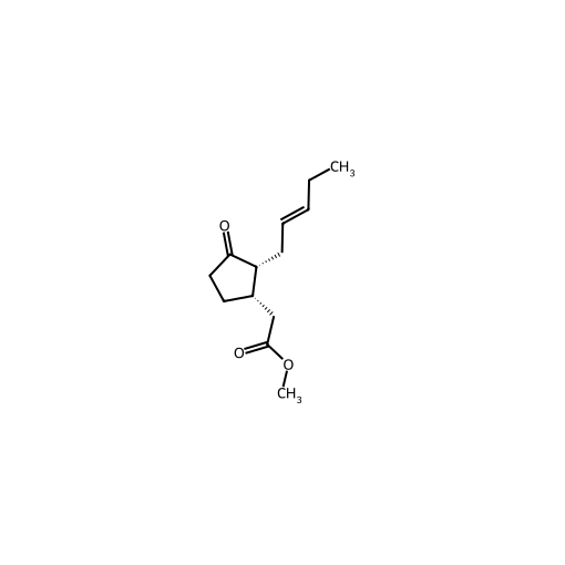 CC/C=C/C[C@H]1C(=O)CC[C@H]1CC(=O)OC